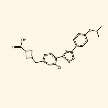 CC(C)Oc1ccc(-c2cnc(-c3ccc(CN4CC(C(=O)O)C4)cc3Cl)s2)cc1